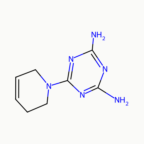 Nc1nc(N)nc(N2CC=CCC2)n1